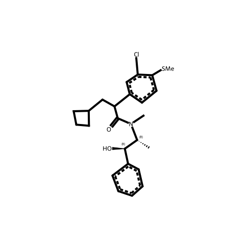 CSc1ccc(C(CC2CCC2)C(=O)N(C)[C@H](C)[C@H](O)c2ccccc2)cc1Cl